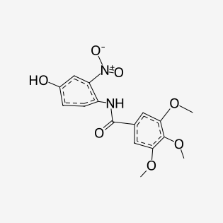 COc1cc(C(=O)Nc2ccc(O)cc2[N+](=O)[O-])cc(OC)c1OC